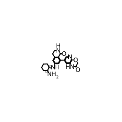 N[C@H]1CCCC[C@H]1Nc1cc2c(c(-c3cnc4c(c3)NC(=O)CO4)c1)C(=O)NCC2